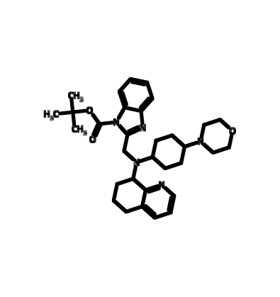 CC(C)(C)OC(=O)n1c(CN(C2CCC(N3CCOCC3)CC2)C2CCCc3cccnc32)nc2ccccc21